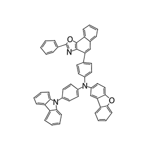 c1ccc(-c2nc3c(-c4ccc(N(c5ccc(-n6c7ccccc7c7ccccc76)cc5)c5ccc6oc7ccccc7c6c5)cc4)cc4ccccc4c3o2)cc1